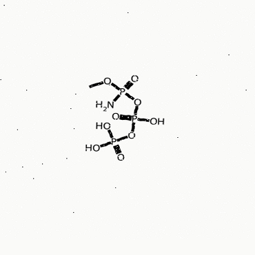 COP(N)(=O)OP(=O)(O)OP(=O)(O)O